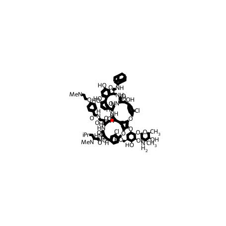 CNCCOc1ccc(C(=O)NC(=O)C[C@@H]2NC(=O)[C@H](NC(=O)[C@@H](CC(C)C)NC)[C@H](O)c3ccc(c(Cl)c3)Oc3cc4cc(c3O[C@@H]3C[C@H](CO)[C@@H](O)[C@H](O)[C@H]3O[C@H]3C[C@](C)(N)[C@H](O)[C@H](C)O3)Oc3ccc(cc3Cl)[C@@H](O)[C@@H]3NC(=O)[C@H](NC(=O)[C@@H]4NC2=O)c2ccc(O)c(c2)-c2c(O)cc(O)cc2[C@@H](C(=O)NC2C4CC5CC(C4)CC2C5)NC3=O)cc1